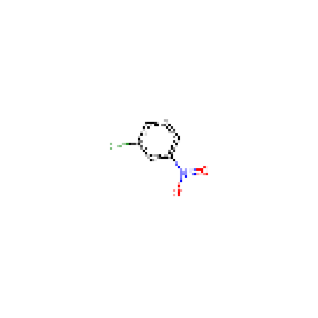 O=[N+]([O-])c1[c]c(Cl)ccc1